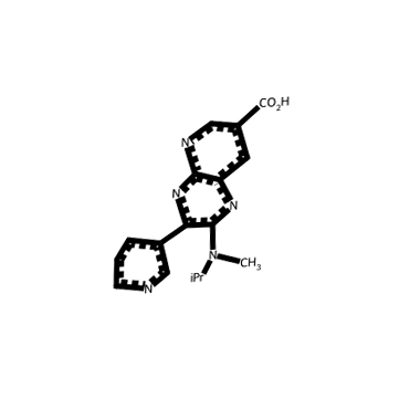 CC(C)N(C)c1nc2cc(C(=O)O)cnc2nc1-c1cccnc1